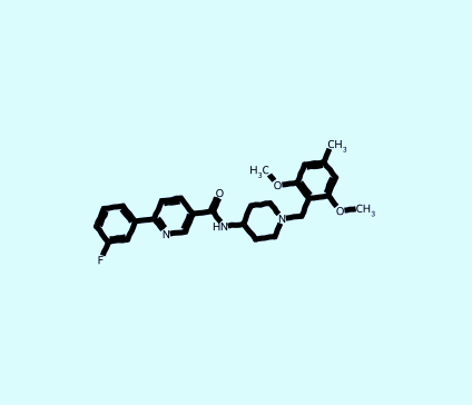 COc1cc(C)cc(OC)c1CN1CCC(NC(=O)c2ccc(-c3cccc(F)c3)nc2)CC1